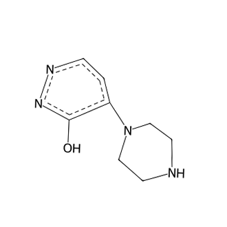 Oc1nnccc1N1CCNCC1